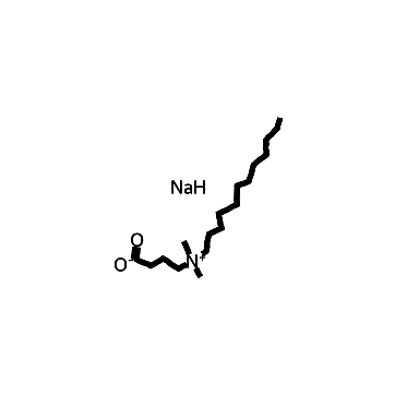 CCCCCCCCCCCC[N+](C)(C)CCCC(=O)[O-].[NaH]